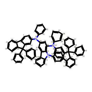 c1ccc(N(c2ccc3c(c2)C(c2ccccc2)(c2ccccc2)c2ccccc2-3)c2cc(N(c3ccccc3)c3ccc4c(c3)C(c3ccccc3)(c3ccccc3)c3ccccc3-4)c3c(c2)c2ccccc2n3-c2ccccc2)cc1